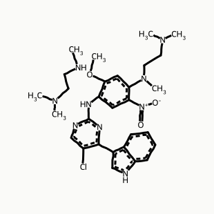 CNCCN(C)C.COc1cc(N(C)CCN(C)C)c([N+](=O)[O-])cc1Nc1ncc(Cl)c(-c2c[nH]c3ccccc23)n1